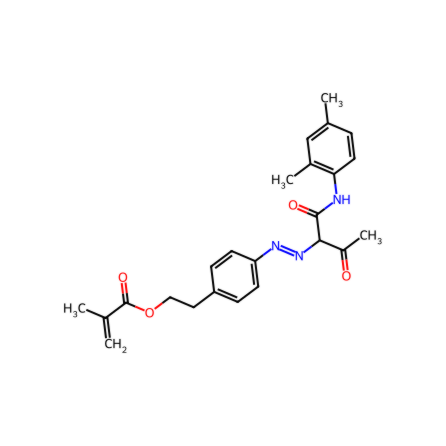 C=C(C)C(=O)OCCc1ccc(/N=N/C(C(C)=O)C(=O)Nc2ccc(C)cc2C)cc1